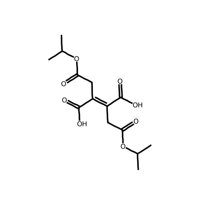 CC(C)OC(=O)CC(C(=O)O)=C(CC(=O)OC(C)C)C(=O)O